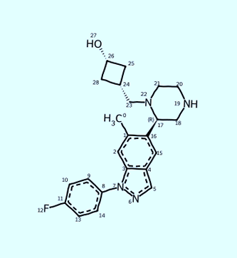 Cc1cc2c(cnn2-c2ccc(F)cc2)cc1[C@@H]1CNCCN1C[C@H]1C[C@@H](O)C1